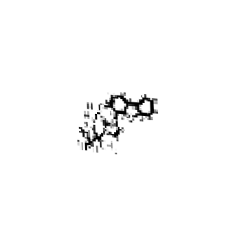 [2H]C([2H])([2H])C([2H])(C)N1C=CN(c2c(C)ccc3c2oc2ccccc23)[C@H]1C